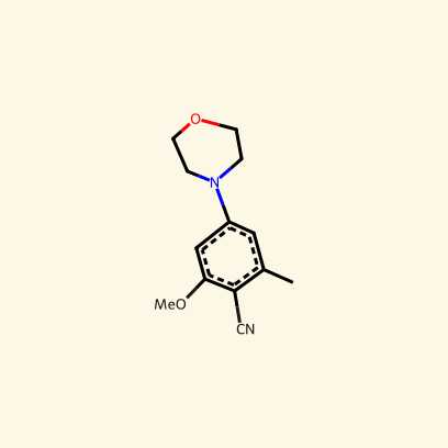 COc1cc(N2CCOCC2)cc(C)c1C#N